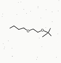 CCCCOCCOC(C)(C)C